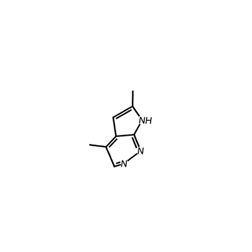 Cc1cc2c(C)cnnc2[nH]1